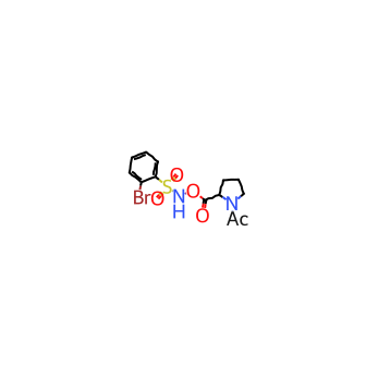 CC(=O)N1CCCC1C(=O)ONS(=O)(=O)c1ccccc1Br